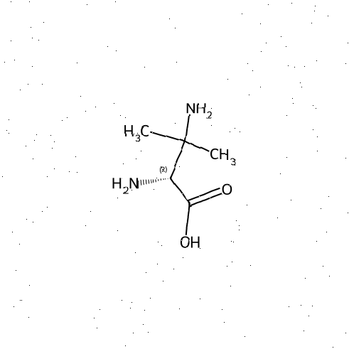 CC(C)(N)[C@@H](N)C(=O)O